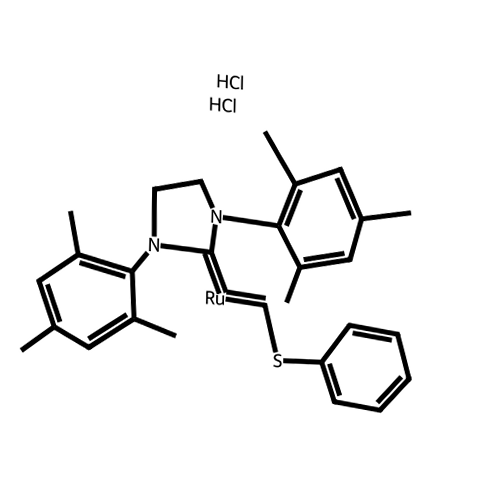 Cc1cc(C)c(N2CCN(c3c(C)cc(C)cc3C)[C]2=[Ru]=[CH]Sc2ccccc2)c(C)c1.Cl.Cl